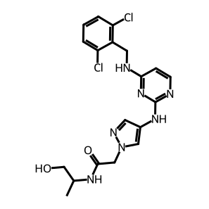 CC(CO)NC(=O)Cn1cc(Nc2nccc(NCc3c(Cl)cccc3Cl)n2)cn1